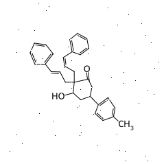 Cc1ccc(C2CC(=O)C(CC=Cc3ccccc3)(CC=Cc3ccccc3)C(O)C2)cc1